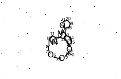 C[C@H]1COCCOCCn2ccc(n2)-c2nn(C3CCCCO3)c3ccc(cc23)O1